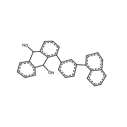 OC1c2ccccc2C(O)c2c(-c3cccc(-c4cccc5ccccc45)c3)cccc21